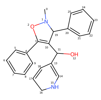 CN1OC(c2ccccc2)=C(C(O)C2=CNCC=C2)C1c1ccccc1